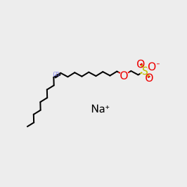 CCCCCCCC/C=C\CCCCCCCCOCCS(=O)(=O)[O-].[Na+]